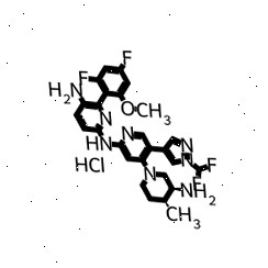 COc1cc(F)cc(F)c1-c1nc(Nc2cc(N3CC[C@@H](C)[C@H](N)C3)c(-c3cnn(C(F)F)c3)cn2)ccc1N.Cl